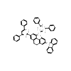 c1ccc(-c2cc(-c3ccccc3)nc(-c3cc4c5c6c(cc(-n7c8ccccc8c8ccccc87)cc6n(-c6nc(-c7ccccc7)nc(-c7ccccc7)n6)c5c3)CC4)n2)cc1